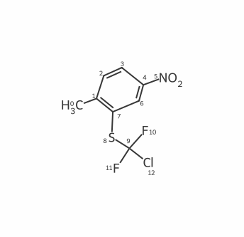 Cc1ccc([N+](=O)[O-])cc1SC(F)(F)Cl